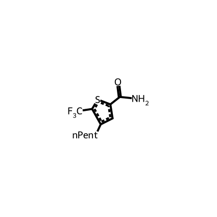 CCCCCc1cc(C(N)=O)sc1C(F)(F)F